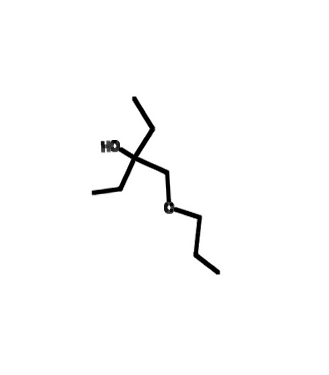 CCCOCC(O)(CC)CC